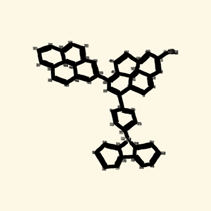 CC(C)(C)c1cc2ccc3c(-c4ccc(-n5c6ccccc6c6ccccc65)cc4)cc(-c4cc5ccc6cccc7ccc(c4)c5c67)c4ccc(c1)c2c34